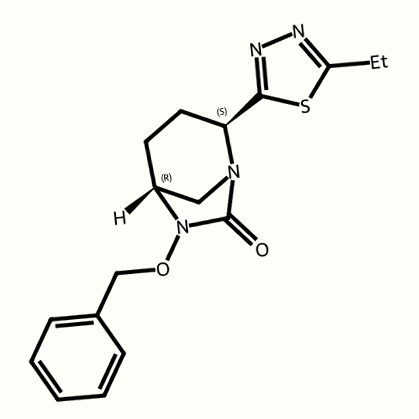 CCc1nnc([C@@H]2CC[C@@H]3CN2C(=O)N3OCc2ccccc2)s1